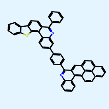 c1ccc(-c2nc3cc(-c4ccc(-c5nc6ccccc6c6c5cc5ccc7cccc8ccc6c5c78)cc4)ccc3c3c2ccc2c4ccccc4sc23)cc1